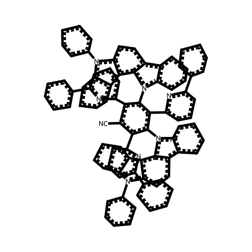 N#Cc1c(-c2cccc(-c3ccccc3)n2)c(-n2c3ccccc3c3ccc4c(c5ccccc5n4-c4ccccc4)c32)c(-c2cccc(-c3ccccc3)n2)c(-n2c3ccccc3c3ccc4c(c5ccccc5n4-c4ccccc4)c32)c1-c1cccc(-c2ccccc2)n1